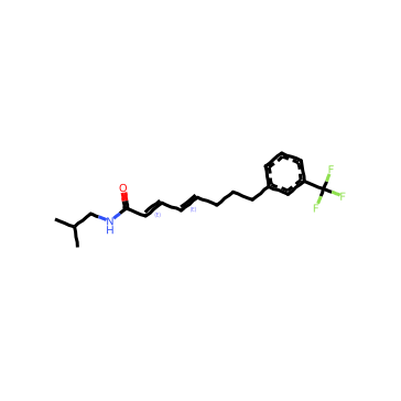 CC(C)CNC(=O)/C=C/C=C/CCCc1cccc(C(F)(F)F)c1